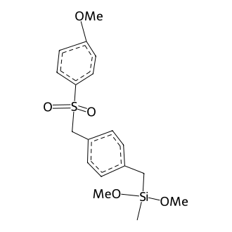 COc1ccc(S(=O)(=O)Cc2ccc(C[Si](C)(OC)OC)cc2)cc1